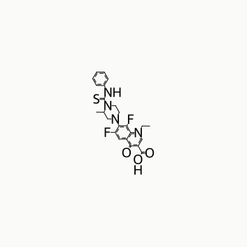 CCn1cc(C(=O)O)c(=O)c2cc(F)c(N3CCN(C(=S)Nc4ccccc4)C(C)C3)c(F)c21